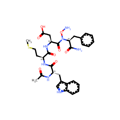 CSCC[C@H](NC(=O)[C@H](Cc1c[nH]c2ccccc12)NC(C)=O)C(=O)N[C@@H](CC(=O)O)C(=O)N(ON)[C@@H](Cc1ccccc1)C(N)=O